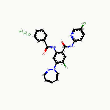 Cl.Cl.Cl.O=C(Nc1cc(N2C=CC=CC=N2)c(F)cc1C(=O)Nc1ccc(Cl)cn1)c1ccccc1